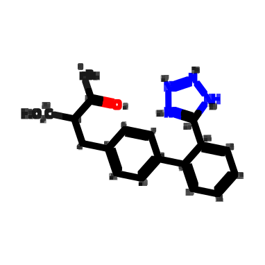 CCCCC(=O)C(Cc1ccc(-c2ccccc2-c2nnn[nH]2)cc1)C(=O)OCC